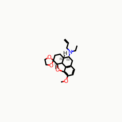 C=CCN(CC)[C@H]1Cc2ccc(OC)c3c2C2[C@@H]1CCC1(OCCO1)[C@H]2O3